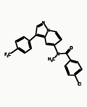 CN(C(=O)c1ccc(Cl)cc1)c1ccn2ncc(-c3ccc(C(F)(F)F)cc3)c2c1